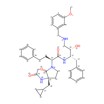 COc1cccc(CNC[C@H](O)[C@H](Cc2ccccc2)NC(=O)[C@H](CCc2ccccc2)N2CC[C@](CC3CC3)(NC(C)=O)C2=O)c1